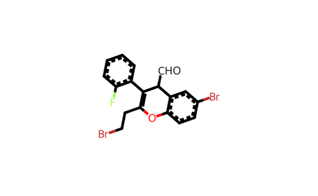 O=CC1C(c2ccccc2F)=C(CCBr)Oc2ccc(Br)cc21